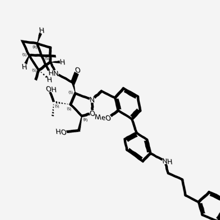 COc1c(CN2O[C@@H](CO)[C@H]([C@H](C)O)[C@H]2C(=O)N[C@H]2C[C@H]3C[C@@H]([C@@H]2C)C3(C)C)cccc1-c1cccc(NCCCc2ccccc2)c1